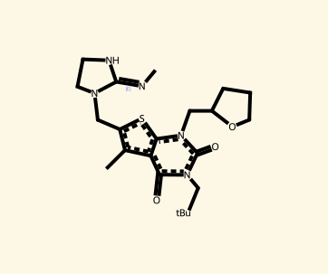 C/N=C1\NCCN1Cc1sc2c(c1C)c(=O)n(CC(C)(C)C)c(=O)n2CC1CCCO1